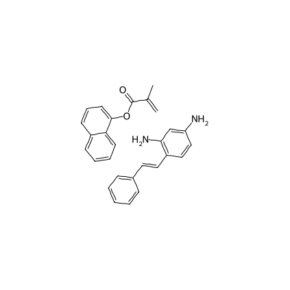 C=C(C)C(=O)Oc1cccc2ccccc12.Nc1ccc(C=Cc2ccccc2)c(N)c1